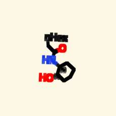 CCCCCCCC(=O)N[C@H]1CCCC[C@@H]1O